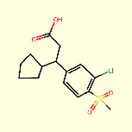 CS(=O)(=O)c1ccc(C(CC(=O)O)C2CCCC2)cc1Cl